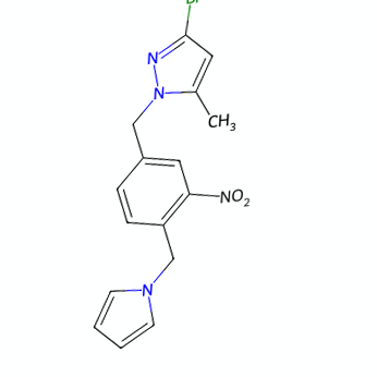 Cc1cc(Br)nn1Cc1ccc(Cn2cccc2)c([N+](=O)[O-])c1